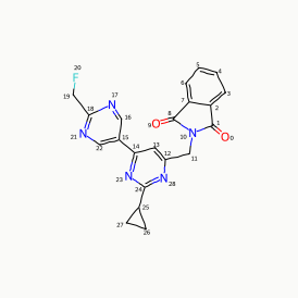 O=C1c2ccccc2C(=O)N1Cc1cc(-c2cnc(CF)nc2)nc(C2CC2)n1